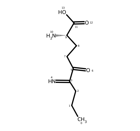 CCCC(=N)C(=O)CC[C@H](N)C(=O)O